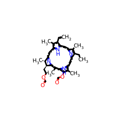 C=Cc1c(C)c2cc3nc(c(C)c4[nH]c(cc5nc(cc1[nH]2)C(C)=C5CC)c(C)c4OC=O)[C@@H](CCOC=O)[C@@H]3C